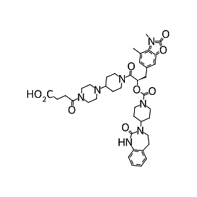 Cc1cc(C[C@@H](OC(=O)N2CCC(N3CCc4ccccc4NC3=O)CC2)C(=O)N2CCC(N3CCN(C(=O)CCC(=O)O)CC3)CC2)cc2oc(=O)n(C)c12